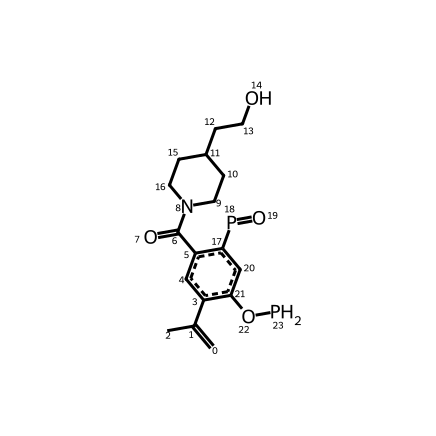 C=C(C)c1cc(C(=O)N2CCC(CCO)CC2)c(P=O)cc1OP